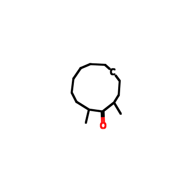 CC1CCCCCCCCCC(C)C1=O